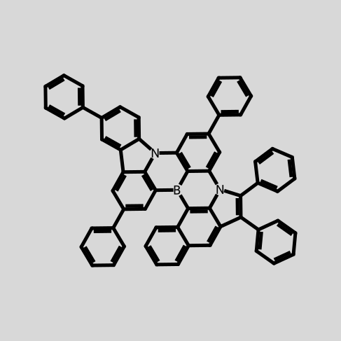 c1ccc(-c2cc3c4c(c2)-n2c5ccc(-c6ccccc6)cc5c5cc(-c6ccccc6)cc(c52)B4c2c4ccccc4cc4c(-c5ccccc5)c(-c5ccccc5)n-3c24)cc1